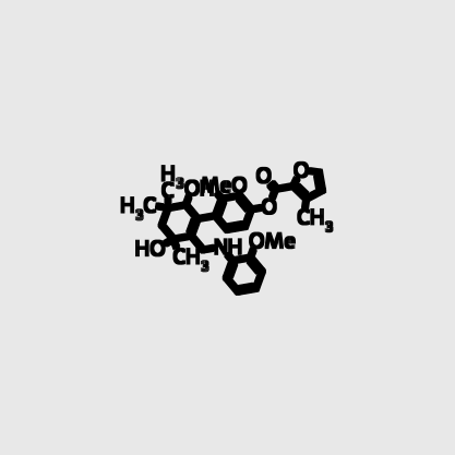 COc1ccccc1NCC1=C(c2ccc(OC(=O)c3occc3C)cc2OC)C(O)C(C)(C)CC1(C)O